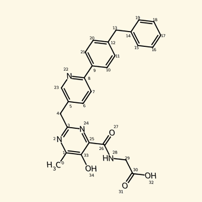 Cc1nc(Cc2ccc(-c3ccc(Cc4ccccc4)cc3)nc2)nc(C(=O)NCC(=O)O)c1O